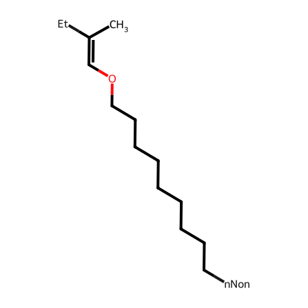 CCCCCCCCCCCCCCCCCCOC=C(C)CC